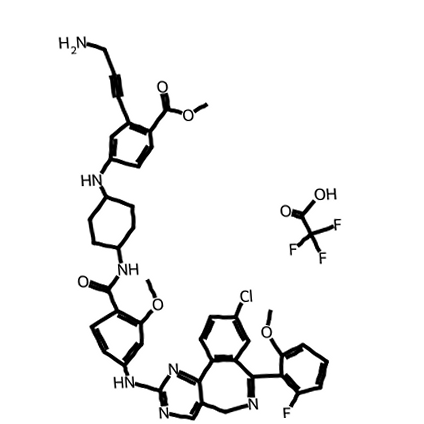 COC(=O)c1ccc(NC2CCC(NC(=O)c3ccc(Nc4ncc5c(n4)-c4ccc(Cl)cc4C(c4c(F)cccc4OC)=NC5)cc3OC)CC2)cc1C#CCN.O=C(O)C(F)(F)F